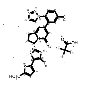 O=C(O)C(F)(F)F.O=C(O)c1ccc(-c2[nH]c([C@@H]3CCc4cc(-c5cc(Cl)ccc5-n5cnnn5)cc(=O)n43)nc2F)s1